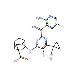 N#CC1(c2nc(C(=N)c3cc(F)cnc3N)nc(NC3C4CCC(CC4)C3C(=O)O)c2F)CC1